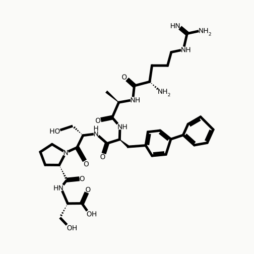 C[C@@H](NC(=O)[C@@H](N)CCCNC(=N)N)C(=O)N[C@@H](Cc1ccc(-c2ccccc2)cc1)C(=O)N[C@@H](CO)C(=O)N1CCC[C@H]1C(=O)N[C@@H](CO)C(=O)O